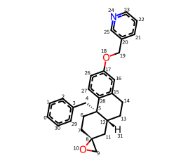 c1ccc(C[C@@]23CC[C@]4(CO4)C[C@H]2CCc2cc(OCc4cccnc4)ccc23)cc1